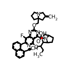 C#Cc1cccc2cccc(-c3nc4c5c(nc(OCC67CCCN6CC(=C)C7)nc5c3F)N3CC5CCC(C3C(CC)O4)N5C(=O)O)c12